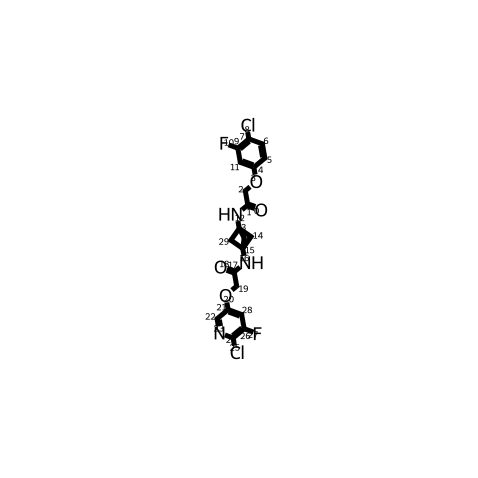 O=C(COc1ccc(Cl)c(F)c1)NC12CC(NC(=O)COc3cnc(Cl)c(F)c3)(C1)C2